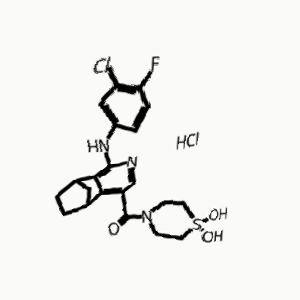 Cl.O=C(c1cnc(Nc2ccc(F)c(Cl)c2)c2c1C1CCC2C1)N1CCS(O)(O)CC1